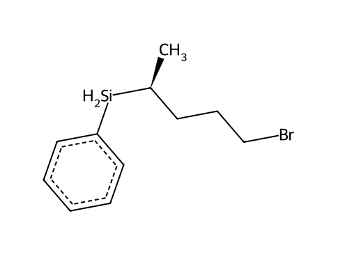 C[C@@H](CCCBr)[SiH2]c1ccccc1